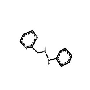 c1ccc(NNCc2ncccn2)cc1